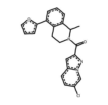 CC1c2cccc(-c3ccco3)c2CCN1C(=O)c1cc2ccc(Cl)cn2n1